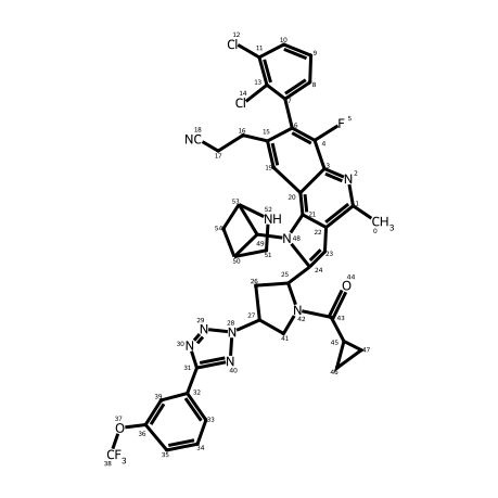 Cc1nc2c(F)c(-c3cccc(Cl)c3Cl)c(CCC#N)cc2c2c1cc(C1CC(n3nnc(-c4cccc(OC(F)(F)F)c4)n3)CN1C(=O)C1CC1)n2C1C2CNC1C2